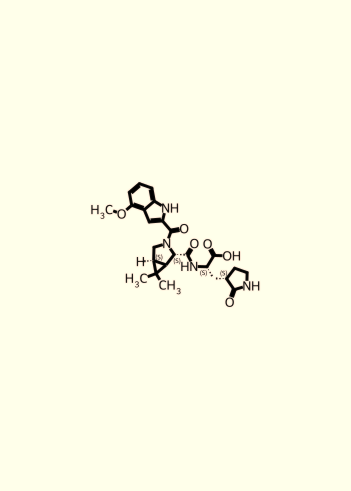 COc1cccc2[nH]c(C(=O)N3C[C@H]4C([C@H]3C(=O)N[C@@H](C[C@@H]3CCNC3=O)C(=O)O)C4(C)C)cc12